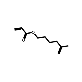 C=CC(=O)OCCCCC(=C)C